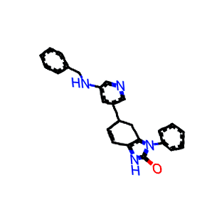 O=c1[nH]c2c(n1-c1ccccc1)CC(c1cncc(NCc3ccccc3)c1)C=C2